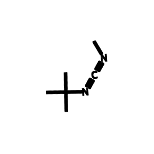 CN=C=NC(C)(C)C